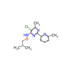 Cc1cccc(-c2nc(C)c(Cl)c(NOCC(C)C)n2)n1